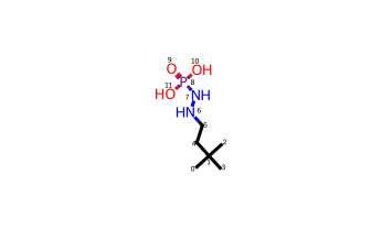 CC(C)(C)CCNNP(=O)(O)O